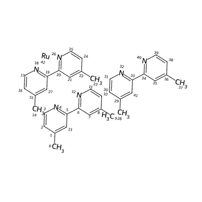 Cc1ccnc(-c2cc(C)ccn2)c1.Cc1ccnc(-c2cc(C)ccn2)c1.Cc1ccnc(-c2cc(C)ccn2)c1.[Ru]